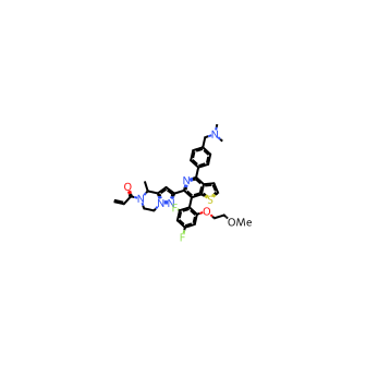 C=CC(=O)N1CCn2nc(-c3nc(-c4ccc(CN(C)C)cc4)c4ccsc4c3-c3c(F)cc(F)cc3OCCOC)cc2C1C